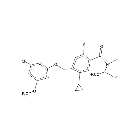 CC(C)C(C(=O)O)N(C)C(=O)c1cc(C2CC2)c(COc2cc(Cl)cc(OC(F)(F)F)c2)cc1F